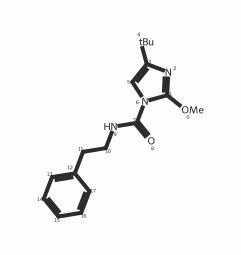 COc1nc(C(C)(C)C)cn1C(=O)NCCc1ccccc1